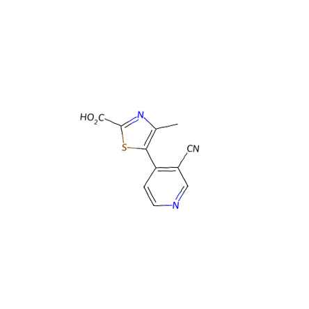 Cc1nc(C(=O)O)sc1-c1ccncc1C#N